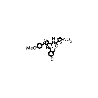 COc1ccc(-n2ncc3c(NC(=O)c4ccc([N+](=O)[O-])s4)nc(-c4ccc(Cl)cc4F)nc32)cc1